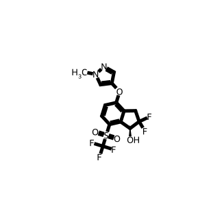 Cn1cc(Oc2ccc(S(=O)(=O)C(F)(F)F)c3c2CC(F)(F)[C@H]3O)cn1